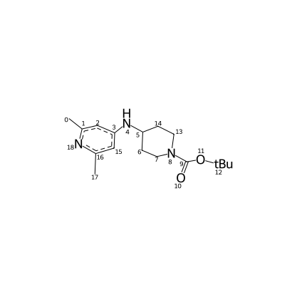 Cc1cc(NC2CCN(C(=O)OC(C)(C)C)CC2)cc(C)n1